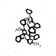 CC1CC=C2C(C1)C(c1ccccc1)(c1cccc(CN3NC(c4ccccc4)C=C3c3ccccc3)c1)c1cc(-c3ccccc3)c(S)c3c4ccccc4n2c13